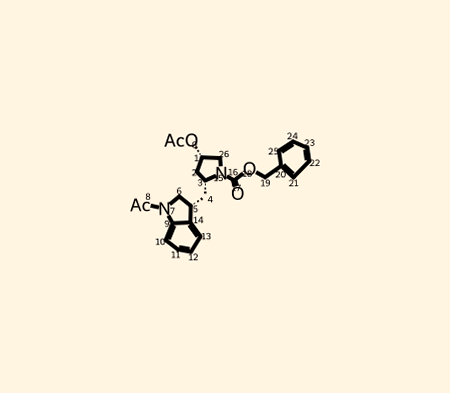 CC(=O)O[C@H]1C[C@@H](C[C@H]2CN(C(C)=O)c3ccccc32)N(C(=O)OCc2ccccc2)C1